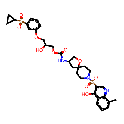 Cc1cccc2c(O)c(S(=O)(=O)N3CCC4(CC3)C[C@@H](NC(=O)OCC(O)COc3cccc(S(=O)(=O)C5CC5)c3)CO4)cnc12